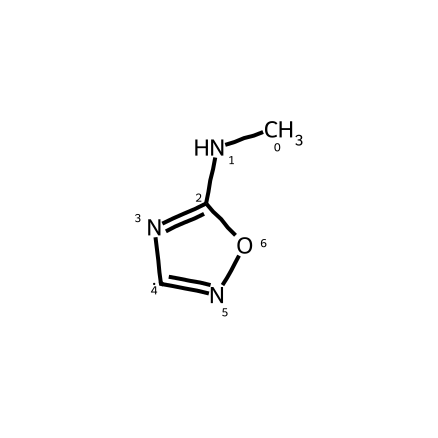 CNc1n[c]no1